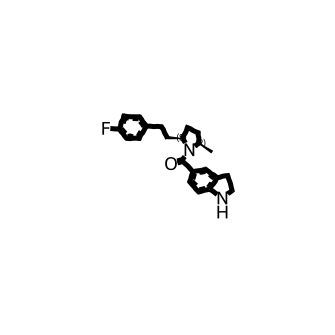 C[C@@H]1CC[C@H](CCc2ccc(F)cc2)N1C(=O)c1ccc2c(c1)CCN2